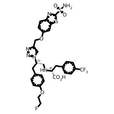 NS(=O)(=O)c1nc2ccc(OCc3cn([C@H](CN[C@H](Cc4ccc(C(F)(F)F)cc4)C(=O)O)Cc4ccc(OCCF)cc4)nn3)cc2s1